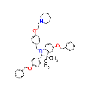 CC1(C)c2cc(OCc3ccccc3)ccc2N(Cc2ccc(OCCN3CCCCCC3)cc2)C1c1ccc(OCc2ccccc2)cc1